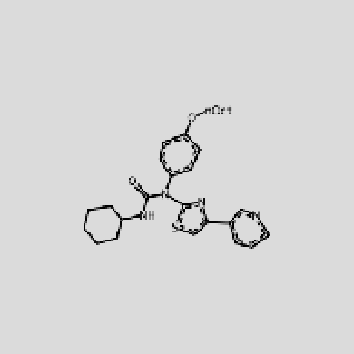 CCCCCCCCOc1ccc(N(C(=O)NC2CCCCC2)c2nc(-c3cccnc3)cs2)cc1